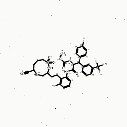 C#CC1CCCS(=O)(=O)NC(CCc2c(F)cccc2NC(=O)[C@@H](NC(=O)OC)[C@@H](c2ccc(F)cc2)c2cccc(C(F)(F)F)c2)CN1